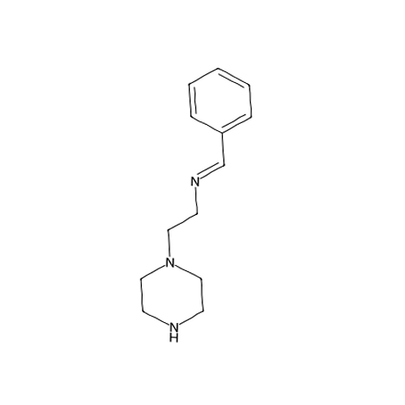 C(=N\CCN1CCNCC1)/c1ccccc1